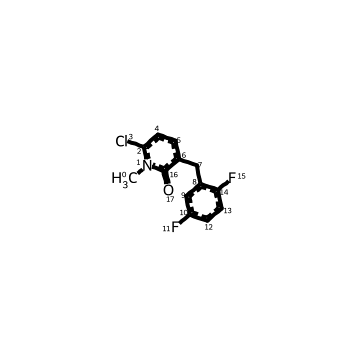 Cn1c(Cl)ccc(Cc2cc(F)ccc2F)c1=O